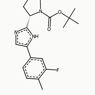 Cc1ccc(-c2cnc([C@@H]3CCCN3C(=O)OC(C)(C)C)[nH]2)cc1F